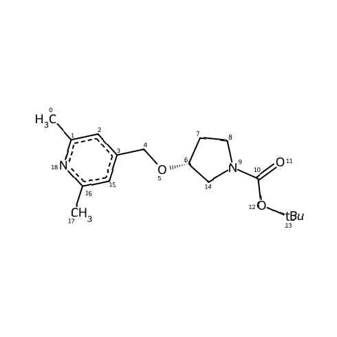 Cc1cc(CO[C@@H]2CCN(C(=O)OC(C)(C)C)C2)cc(C)n1